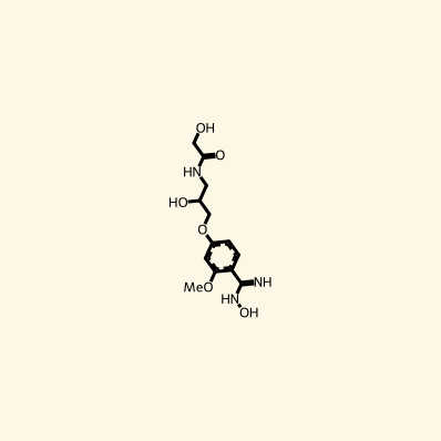 COc1cc(OCC(O)CNC(=O)CO)ccc1C(=N)NO